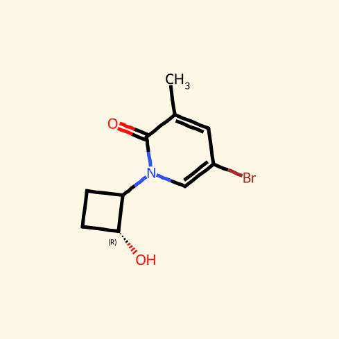 Cc1cc(Br)cn(C2CC[C@H]2O)c1=O